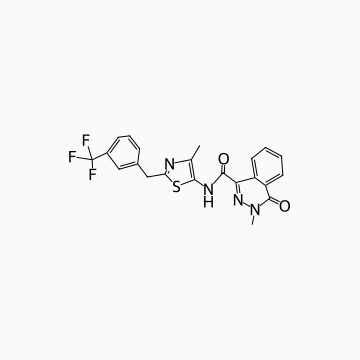 Cc1nc(Cc2cccc(C(F)(F)F)c2)sc1NC(=O)c1nn(C)c(=O)c2ccccc12